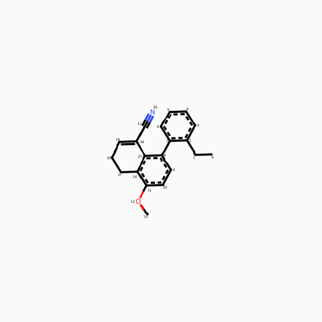 CCc1ccccc1-c1ccc(OC)c2c1C(C#N)=CCC2